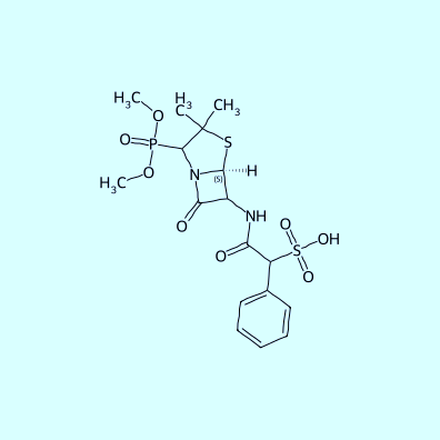 COP(=O)(OC)C1N2C(=O)C(NC(=O)C(c3ccccc3)S(=O)(=O)O)[C@@H]2SC1(C)C